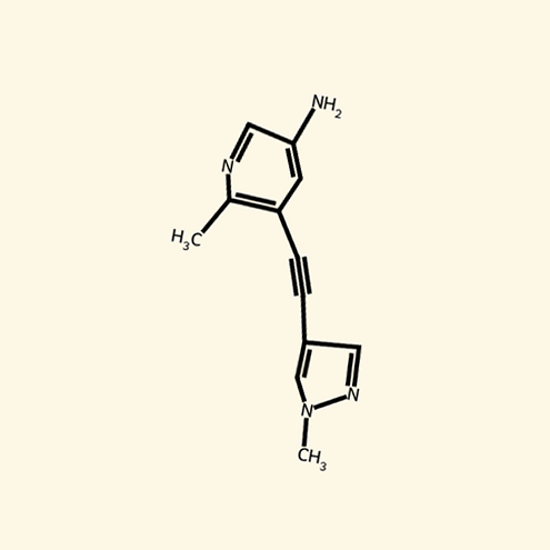 Cc1ncc(N)cc1C#Cc1cnn(C)c1